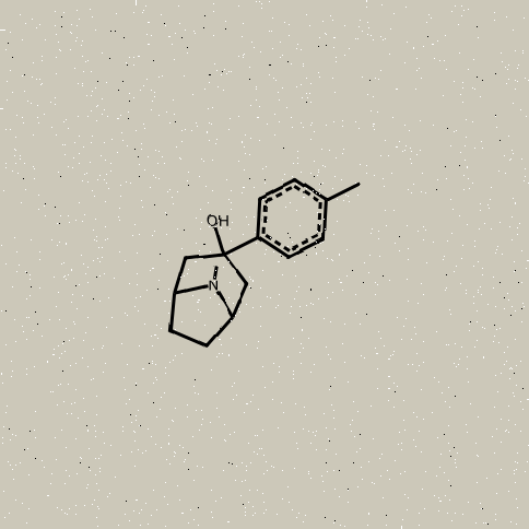 Cc1ccc(C2(O)CC3CCC(C2)N3C)cc1